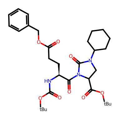 CC(C)(C)OC(=O)N[C@@H](CCC(=O)OCc1ccccc1)C(=O)N1C(=O)N(C2CCCCC2)CC1C(=O)OC(C)(C)C